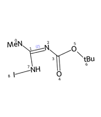 CN/C(=N/C(=O)OC(C)(C)C)NI